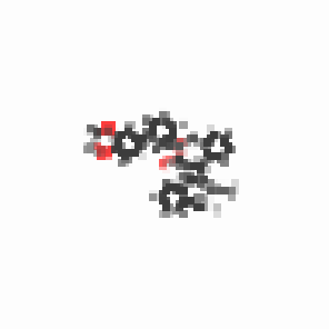 COc1ccccc1[C@@H]1[C@H](C(=O)Oc2cccc(-c3ccc4c(c3)OCCO4)c2)[C@@H](c2ccccc2C)[C@@H]1C(=O)O